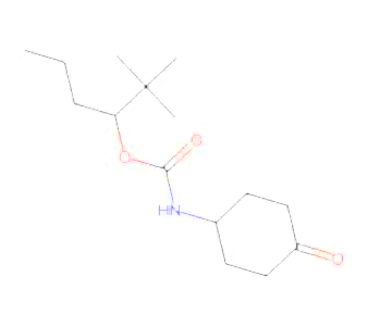 CCCC(OC(=O)NC1CCC(=O)CC1)C(C)(C)C